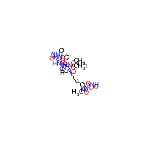 Cn1c(=O)n(C2CCC(=O)NC2=O)c2ccc(C3CC(CCCC(=O)N4CC[C@H]5CC[C@@H](C(=O)NC(CCC(N)=O)C(=O)NC(c6ccccc6)c6ccccc6)N5C(=O)[C@@H](NC(=O)OC(C)(C)C)C4)C3)cc21